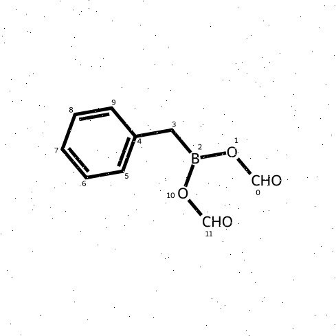 O=COB(Cc1ccccc1)OC=O